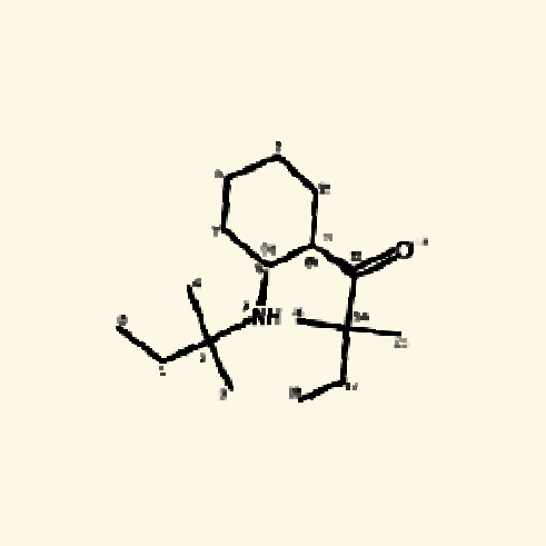 CCC(C)(C)N[C@H]1CCCC[C@H]1C(=O)C(C)(C)CC